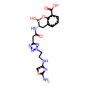 Nc1nc(NCCn2nnc(CC(=O)N[C@H]3Cc4cccc(C(=O)O)c4OB3O)n2)cs1